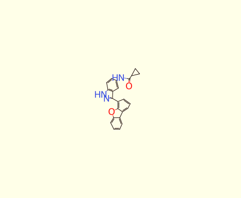 O=C(Nc1ccc2[nH]nc(-c3cccc4c3oc3ccccc34)c2c1)C1CC1